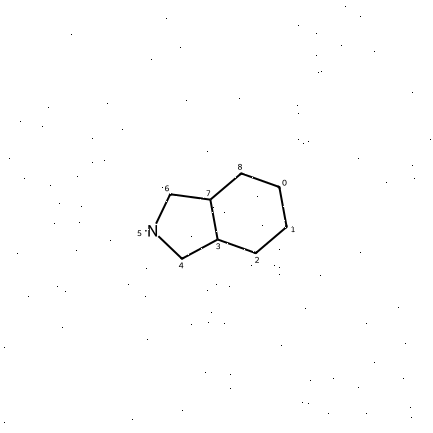 C1CCC2C[N]CC2C1